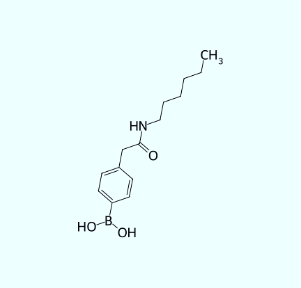 CCCCCCNC(=O)Cc1ccc(B(O)O)cc1